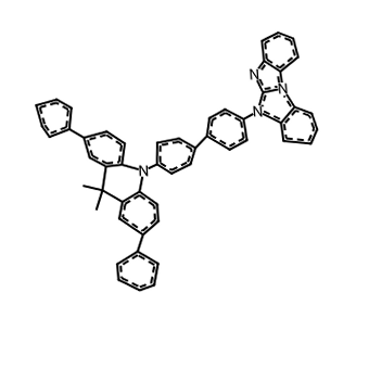 CC1(C)c2cc(-c3ccccc3)ccc2N(c2ccc(-c3ccc(-n4c5ccccc5n5c6ccccc6nc45)cc3)cc2)c2ccc(-c3ccccc3)cc21